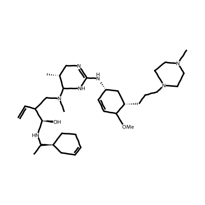 C=CC(CN(C)C1NC(N[C@H]2C=CC(OC)[C@@H](CCCN3CCN(C)CC3)C2)=NC[C@H]1C)[C@@H](O)NC(C)[C@@H]1CC=CCC1